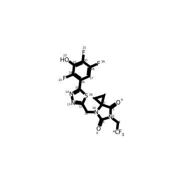 O=C1N(CC(F)(F)F)C(=O)C2(CC2)N1Cc1nnc(-c2cc(F)c(F)c(O)c2F)s1